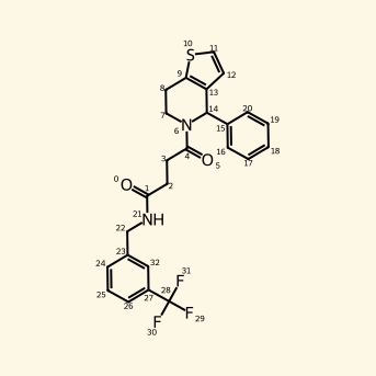 O=C(CCC(=O)N1CCc2sccc2C1c1ccccc1)NCc1cccc(C(F)(F)F)c1